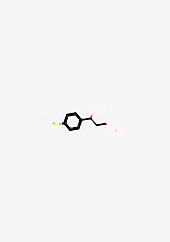 CSc1ccc(C(O)CCO)cc1